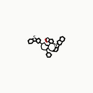 C1=C2/C(=C(/c3ccccc3)CCCC(c3ccc4sc5ccccc5c4c3)C/1)Cc1ccc3c4cc5ccccc5cc4n(c3c1)-c1ccc3c(c12)-c1ccccc1C3